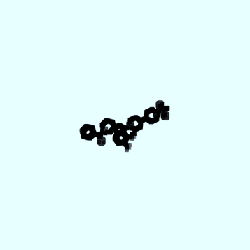 CS(=O)(=O)N1CCC(C2CCN(CCC3(c4ccc(F)c(F)c4)CCCN(C(=O)c4ccccc4)C3)CC2)CC1